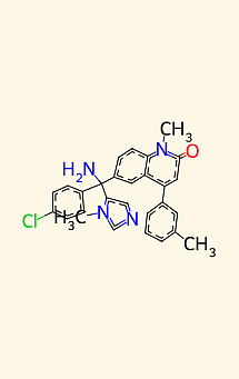 Cc1cccc(-c2cc(=O)n(C)c3ccc(C(N)(c4ccc(Cl)cc4)c4cncn4C)cc23)c1